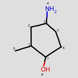 CC1CC(N)CCC1O